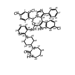 CC(c1ccc(Cl)cc1Cl)n1cnc(-c2ccccc2)c1-c1c(C(=O)Nc2cccnc2N2CCC(N3CCCCNC3=O)CC2)[nH]c2cc(Cl)ccc12